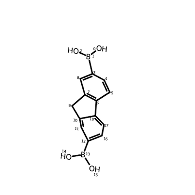 OB(O)c1ccc2c(c1)Cc1cc(B(O)O)ccc1-2